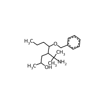 CCCC(OCc1ccccc1)C(CC(C)O)C(C)(C)N